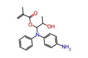 C=C(C)C(=O)OC(C(C)O)N(c1ccccc1)c1ccc(N)cc1